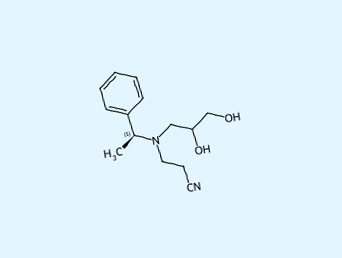 C[C@@H](c1ccccc1)N(CCC#N)CC(O)CO